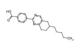 CCCCCC1CCc2nc(-c3ccc(C(=O)O)cc3)ncc2C1